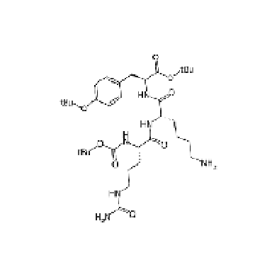 CC(C)(C)OC(=O)N[C@@H](CCCNC(N)=O)C(=O)N[C@@H](CCCCN)C(=O)N[C@@H](Cc1ccc(OC(C)(C)C)cc1)C(=O)OC(C)(C)C